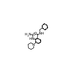 NC(=O)Nc1c(C(=O)NCc2ccccc2)cccc1N1CCCCC1